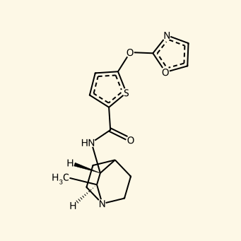 C[C@H]1[C@H](NC(=O)c2ccc(Oc3ncco3)s2)C2CCN1CC2